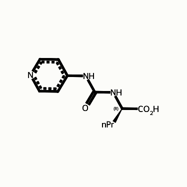 CCC[C@@H](NC(=O)Nc1ccncc1)C(=O)O